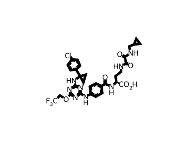 O=C(NCC[C@H](NC(=O)c1ccc(Nc2nc(NC3(c4ccc(Cl)cc4)CC3)nc(OCC(F)(F)F)n2)cc1)C(=O)O)C(=O)NCC1CC1